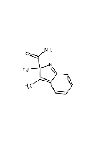 CC1=c2ccccc2=NC1(C)C(N)=O